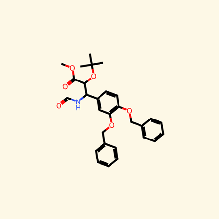 COC(=O)C(OC(C)(C)C)C(NC=O)c1ccc(OCc2ccccc2)c(OCc2ccccc2)c1